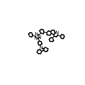 c1ccc(-c2cc(-c3ccccc3)c3c(ccc4cc(-c5cccc(-c6nc(-c7ccccc7)nc(-c7ccc(-n8c9ccccc9c9ccccc98)cc7)n6)c5)ccc43)n2)cc1